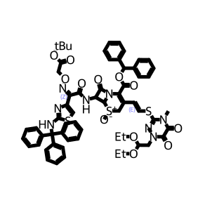 CCOC(Cn1nc(S/C=C/C2=C(C(=O)OC(c3ccccc3)c3ccccc3)N3C(=O)C(NC(=O)/C(=N\OCC(=O)OC(C)(C)C)c4csc(NC(c5ccccc5)(c5ccccc5)c5ccccc5)n4)C3[S+]([O-])C2)n(C)c(=O)c1=O)OCC